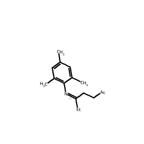 CC/C(CCC(C)=O)=N/c1c(C)cc(C)cc1C